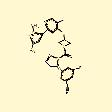 Cn1nc(N)cc1-c1cc(OC2CN(C(=O)N3N=CC[C@H]3c3cc(F)cc(C#N)c3)C2)c(F)cn1